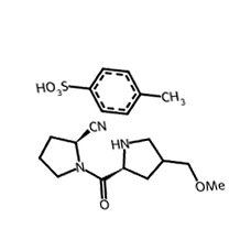 COCC1CN[C@H](C(=O)N2CCC[C@H]2C#N)C1.Cc1ccc(S(=O)(=O)O)cc1